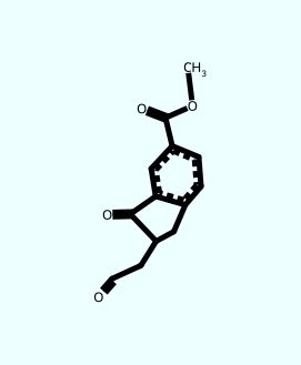 COC(=O)c1ccc2c(c1)C(=O)C(CC=O)C2